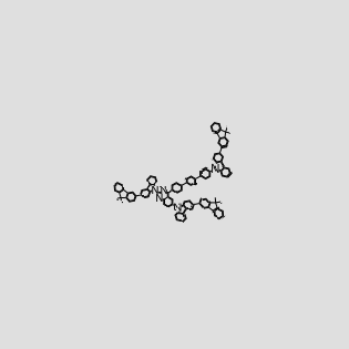 CC1(C)c2ccccc2-c2cc(-c3ccc4c(c3)c3ccccc3n4-c3ccc(-c4ccc(-c5ccc(-c6nc(-n7c8ccccc8c8cc(-c9ccc%10c(c9)-c9ccccc9C%10(C)C)ccc87)nc7ccc(-n8c9ccccc9c9cc(-c%10ccc%11c(c%10)-c%10ccccc%10C%11(C)C)ccc98)cc67)cc5)cc4)cc3)ccc21